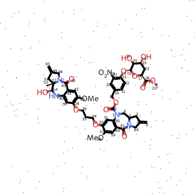 C=C1CC2CN(C(=O)OCc3ccc(O[C@@H]4O[C@H](C(=O)OI)C[C@H](O)C4O)c([N+](=O)[O-])c3)c3cc(OCCCOc4cc5c(cc4OC)C(=O)N4CC(=C)C[C@@]4(C)[C@H](O)N5)c(OC)cc3C(=O)N2C1